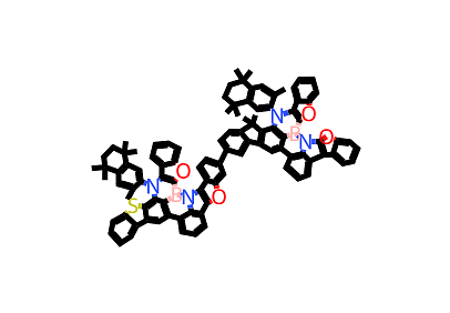 Cc1cc2c(cc1N1c3c4c(cc5c3C(C)(C)c3ccc(-c6ccc7c(c6)oc6c8cccc9c8n(c76)B6c7oc8ccccc8c7N(c7cc8c(cc7C)C(C)(C)CCC8(C)C)c7c6c-9cc6c7sc7ccccc76)cc3-5)-c3cccc5c6c7ccccc7oc6n(c35)B4c3oc4ccccc4c31)C(C)(C)CCC2(C)C